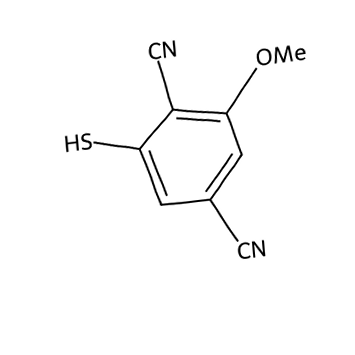 COc1cc(C#N)cc(S)c1C#N